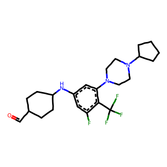 O=CC1CCC(Nc2cc(F)c(C(F)(F)F)c(N3CCN(C4CCCC4)CC3)c2)CC1